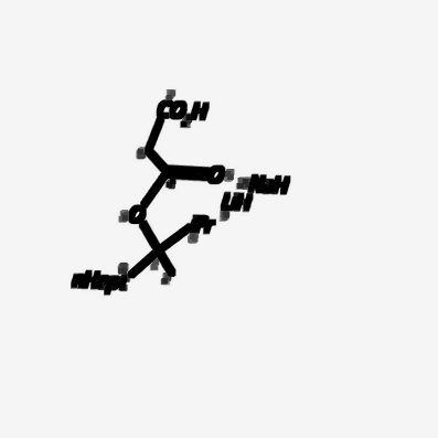 CCCCCCCC(C)(OC(=O)CC(=O)O)C(C)C.[LiH].[NaH]